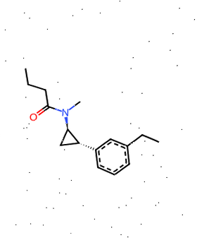 CCCC(=O)N(C)[C@@H]1C[C@H]1c1cccc(CC)c1